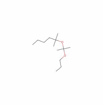 CCCCC(C)(C)OC(C)(C)OCCC